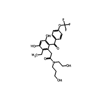 CCc1c(O)cc(O)c(C(=O)c2ccc(OC(F)(F)F)cc2)c1CC(=O)N(CCO)CCCO